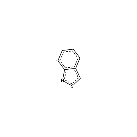 [c]1cccc2csnc12